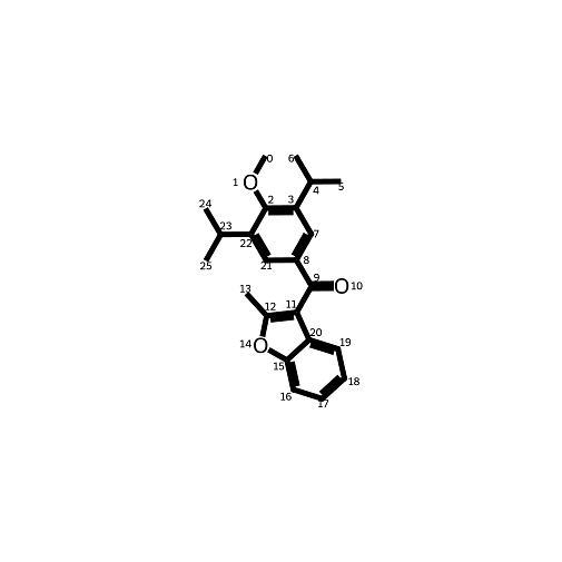 COc1c(C(C)C)cc(C(=O)c2c(C)oc3ccccc23)cc1C(C)C